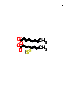 CCCCCCCC(=O)[O-].CCCCCCCC(=O)[O-].[S+2]